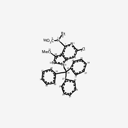 CCN(C(=O)O)c1nc(Cl)cc2c1c(OC)nn2C(c1ccccc1)(c1ccccc1)c1ccccc1